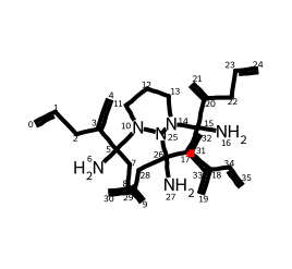 C=CCC(=C)C(N)(CC=C)N1CCCN(C(N)(CC=C)C(=C)CC=C)N1C(N)(CC=C)C(=C)CC=C